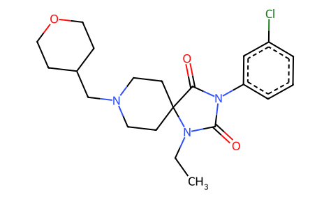 CCN1C(=O)N(c2cccc(Cl)c2)C(=O)C12CCN(CC1CCOCC1)CC2